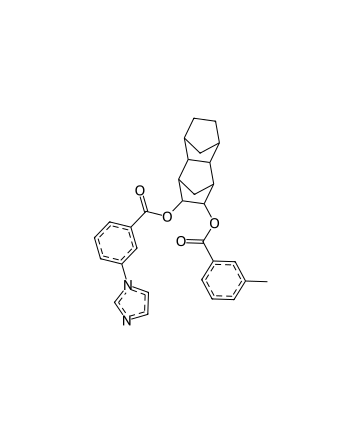 Cc1cccc(C(=O)OC2C3CC(C2OC(=O)c2cccc(-n4ccnc4)c2)C2C4CCC(C4)C32)c1